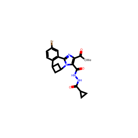 COC(=O)c1nc2n(c1C(=O)NNC(=O)C1CC1)C1CC(C1)c1ccc(Br)cc1-2